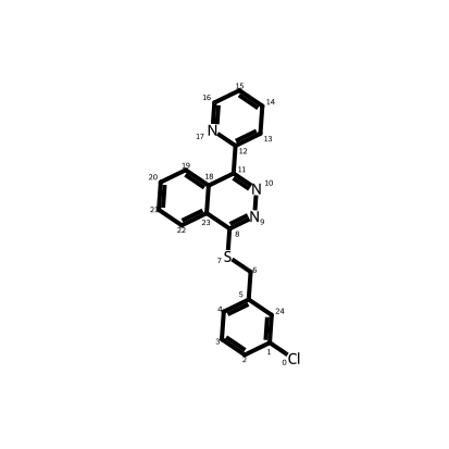 Clc1cccc(CSc2nnc(-c3ccccn3)c3ccccc23)c1